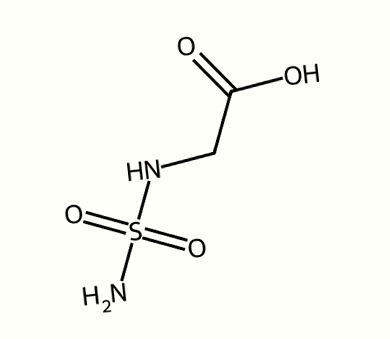 NS(=O)(=O)NCC(=O)O